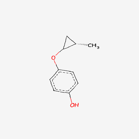 C[C@H]1CC1Oc1ccc(O)cc1